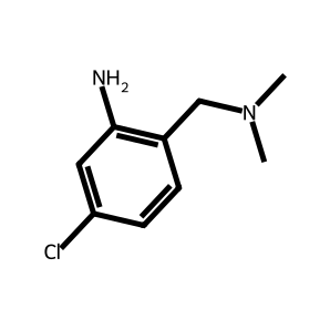 CN(C)Cc1ccc(Cl)cc1N